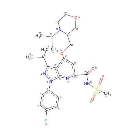 CC(C)c1nn(-c2ccc(F)cc2)c2nc(C(=O)NS(C)(=O)=O)cc(OCC3COCCN3C(C)C)c12